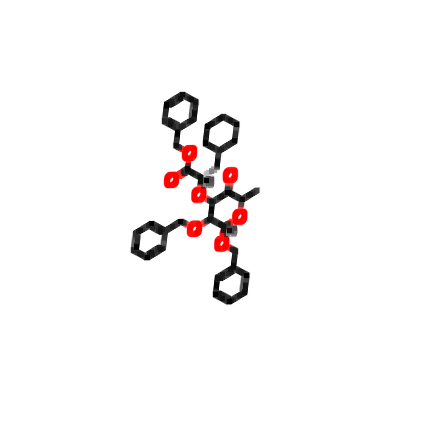 CC1O[C@@H](OCc2ccccc2)C(OCc2ccccc2)C(O[C@@H](CC2CCCCC2)C(=O)OCc2ccccc2)C1=O